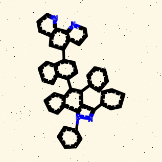 c1ccc(-c2nn(-c3ccccc3)c3c2c(-c2ccccc2)c(-c2ccc(-c4cc5cccnc5c5ncccc45)c4ccccc24)c2ccccc23)cc1